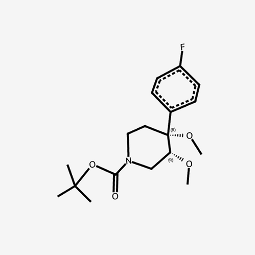 CO[C@@H]1CN(C(=O)OC(C)(C)C)CC[C@@]1(OC)c1ccc(F)cc1